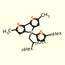 CCCCCCCCC(CCCCCC)C[Si]1(c2ccc(CCCCCC)s2)c2cc(C)sc2-c2sc(C)cc21